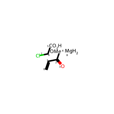 C=CC(=O)OC.O=C(O)CCl.[MgH2]